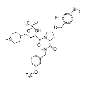 Bc1ccc(CO[C@@H]2C[C@@H](C(=O)NCc3cccc(OC(F)(F)F)c3)N(C(=O)[C@@H](CCC3CCNCC3)NS(C)(=O)=O)C2)c(F)c1